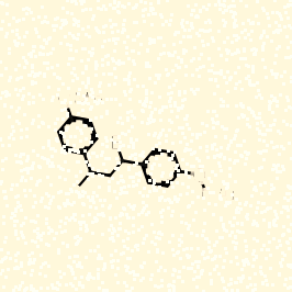 CCCCOc1ccc(C(CC)CC(C)c2ccc(OC)cc2)cc1